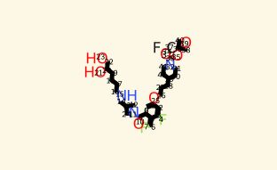 C=C(/C=C(F)\C(=C\F)CC(=O)N1CC(CNCCCC[C@H](O)CO)C1)OCCCC1CCN(C(=O)OC2(C(F)(F)F)COC2)CC1